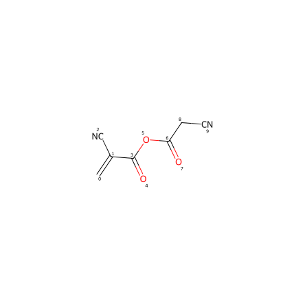 C=C(C#N)C(=O)OC(=O)CC#N